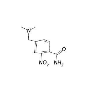 CN(C)Cc1ccc(C(N)=O)c([N+](=O)[O-])c1